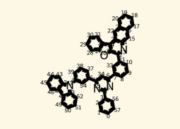 c1ccc(-c2nc(-c3cccc(-c4nc5cc6ccccc6cc5c5c4oc4ccccc45)c3)cc(-c3cccc(-n4c5ccccc5c5ccccc54)c3)n2)cc1